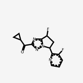 O=C(c1nc2n(n1)C(c1ncccc1F)CC2F)C1CC1